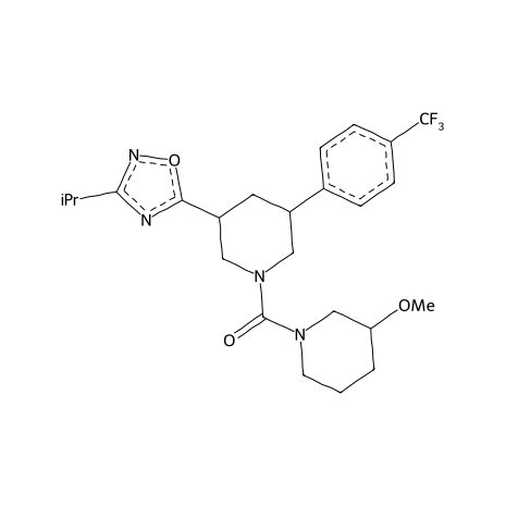 COC1CCCN(C(=O)N2CC(c3ccc(C(F)(F)F)cc3)CC(c3nc(C(C)C)no3)C2)C1